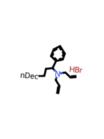 Br.C=CCN(CC=C)C(CCCCCCCCCCCC)c1ccccc1